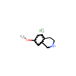 Cl.FC(F)(F)Oc1ccc2c(c1)CNCC2